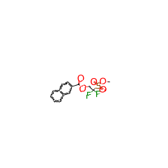 COS(=O)(=O)C(F)(F)COC(=O)c1ccc2ccccc2c1